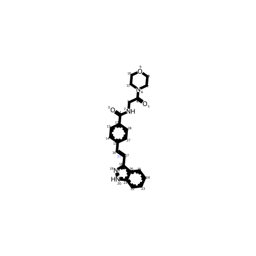 O=C(NCC(=O)N1CCOCC1)c1ccc(/C=C/c2n[nH]c3ccccc23)cc1